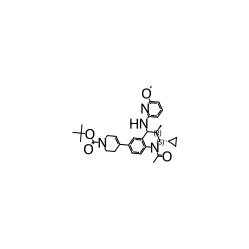 COc1cccc(NC2c3cc(C4=CCN(C(=O)OC(C)(C)C)CC4)ccc3N(C(C)=O)[C@@H](C3CC3)[C@@H]2C)n1